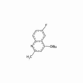 Cc1cc(OCC(C)C)c2cc(F)ccc2n1